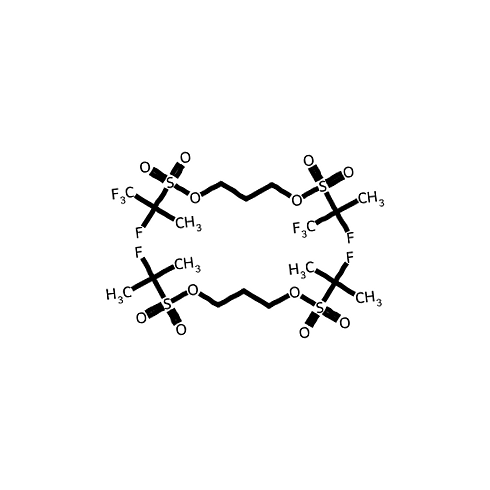 CC(C)(F)S(=O)(=O)OCCCOS(=O)(=O)C(C)(C)F.CC(F)(C(F)(F)F)S(=O)(=O)OCCCOS(=O)(=O)C(C)(F)C(F)(F)F